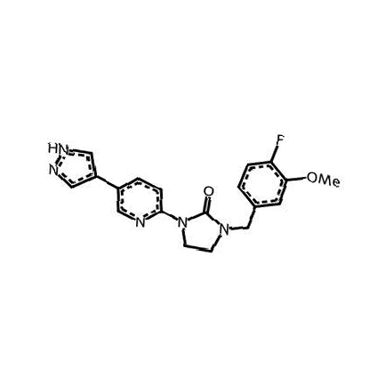 COc1cc(CN2CCN(c3ccc(-c4cn[nH]c4)cn3)C2=O)ccc1F